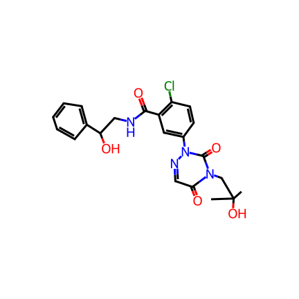 CC(C)(O)Cn1c(=O)cnn(-c2ccc(Cl)c(C(=O)NCC(O)c3ccccc3)c2)c1=O